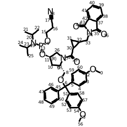 COc1ccc(C(OC[C@@H]2C[C@@H](OP(OCCC#N)N(C(C)C)C(C)C)CN2C(=O)C2CC2CN2C(=O)c3ccccc3C2=O)(c2ccccc2)c2ccc(OC)cc2)cc1